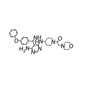 N=C(c1ccc(Oc2ccccc2)cc1)c1c(N)ncnc1NC1CCN(C(=O)CN2CCOCC2)CC1